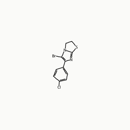 Clc1ccc(-c2nc3n(c2Br)CCS3)cc1